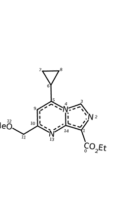 CCOC(=O)c1ncn2c(C3CC3)cc(COC)nc12